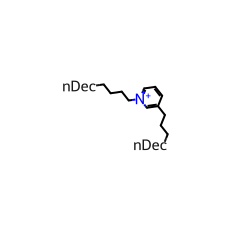 CCCCCCCCCCCCCC[n+]1cccc(CCCCCCCCCCCCC)c1